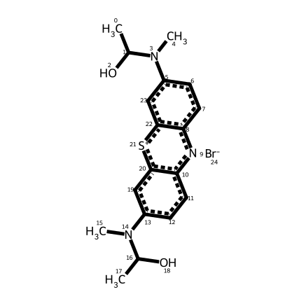 CC(O)N(C)c1ccc2nc3ccc(N(C)C(C)O)cc3[s+]c2c1.[Br-]